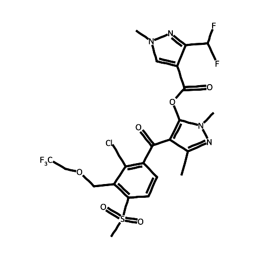 Cc1nn(C)c(OC(=O)c2cn(C)nc2C(F)F)c1C(=O)c1ccc(S(C)(=O)=O)c(COCC(F)(F)F)c1Cl